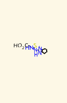 Cn1c(NC(=S)NCC(=O)O)nc2ccccc21